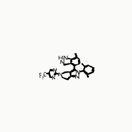 Cc1cccc(C)c1-n1nc2c(c1-c1ccc(C)c3[nH]ncc13)CN(c1ncc(C(F)(F)F)cn1)CC2